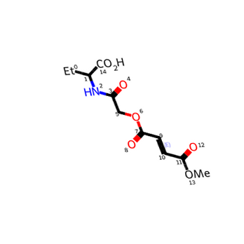 CCC(NC(=O)COC(=O)/C=C/C(=O)OC)C(=O)O